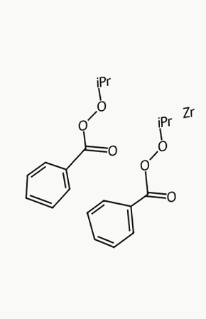 CC(C)OOC(=O)c1ccccc1.CC(C)OOC(=O)c1ccccc1.[Zr]